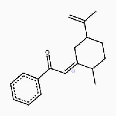 C=C(C)C1CCC(C)/C(=C/C(=O)c2ccccc2)C1